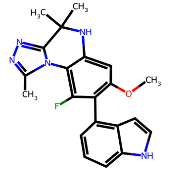 COc1cc2c(c(F)c1-c1cccc3[nH]ccc13)-n1c(C)nnc1C(C)(C)N2